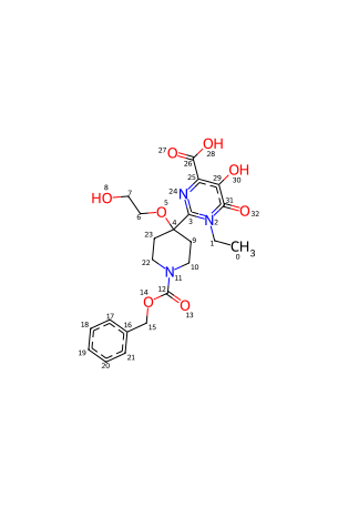 CCn1c(C2(OCCO)CCN(C(=O)OCc3ccccc3)CC2)nc(C(=O)O)c(O)c1=O